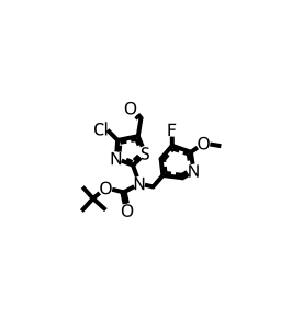 COc1ncc(CN(C(=O)OC(C)(C)C)c2nc(Cl)c(C=O)s2)cc1F